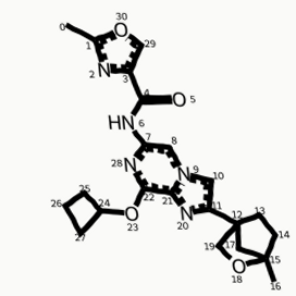 Cc1nc(C(=O)Nc2cn3cc(C45CCC(C)(C4)OC5)nc3c(OC3CCC3)n2)co1